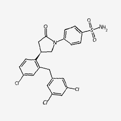 NS(=O)(=O)c1ccc(N2C[C@@H](c3ccc(Cl)cc3Cc3cc(Cl)cc(Cl)c3)CC2=O)cc1